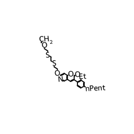 C=COCCSCCSCCOc1cc2oc(=O)c(-c3ccc(CCCCC)cc3CC)cc2cn1